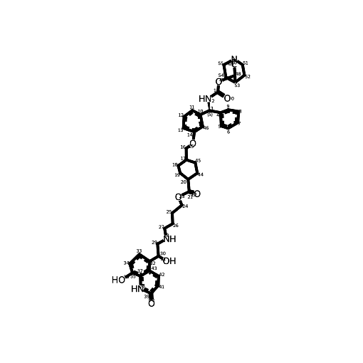 O=C(N[C@@H](c1ccccc1)c1cccc(OCC2CCC(C(=O)OCCCCNCC(O)c3ccc(O)c4[nH]c(=O)ccc34)CC2)c1)OC1CN2CCC1CC2